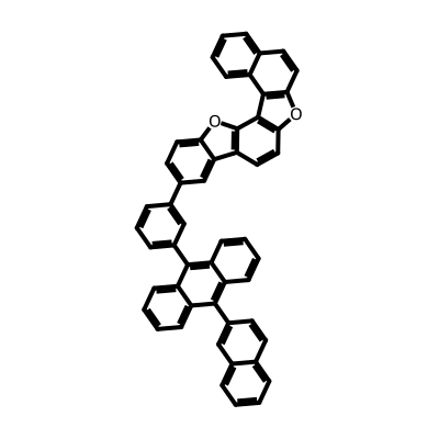 c1cc(-c2ccc3oc4c(ccc5oc6ccc7ccccc7c6c54)c3c2)cc(-c2c3ccccc3c(-c3ccc4ccccc4c3)c3ccccc23)c1